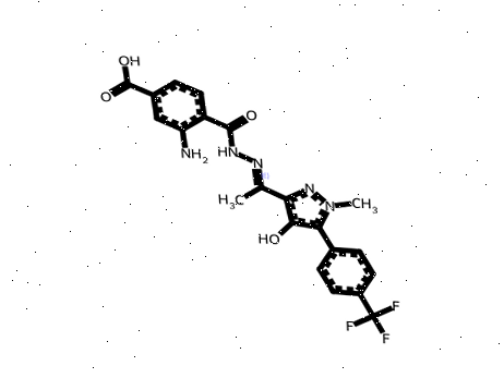 C/C(=N\NC(=O)c1ccc(C(=O)O)cc1N)c1nn(C)c(-c2ccc(C(F)(F)F)cc2)c1O